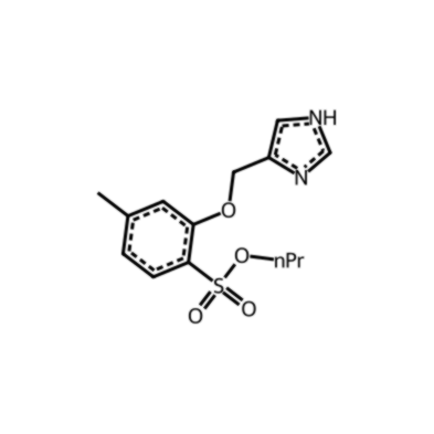 CCCOS(=O)(=O)c1ccc(C)cc1OCc1c[nH]cn1